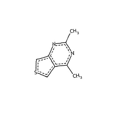 Cc1nc(C)c2cscc2n1